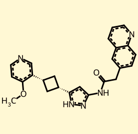 COc1ccncc1[C@H]1C[C@@H](c2cc(NC(=O)Cc3ccc4ncccc4c3)n[nH]2)C1